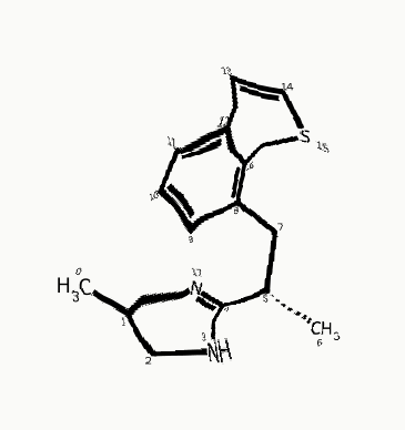 CC1CNC([C@@H](C)Cc2cccc3ccsc23)=N1